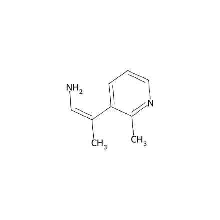 C/C(=C/N)c1cccnc1C